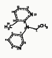 CCN(c1cccnc1)c1ncccc1C